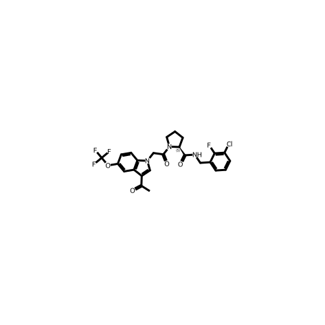 CC(=O)c1cn(CC(=O)N2CCC[C@H]2C(=O)NCc2cccc(Cl)c2F)c2ccc(OC(F)(F)F)cc12